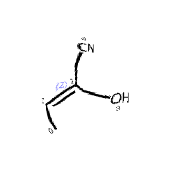 C/C=C(\O)C#N